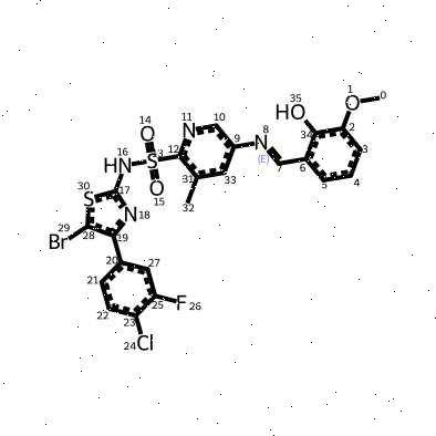 COc1cccc(/C=N/c2cnc(S(=O)(=O)Nc3nc(-c4ccc(Cl)c(F)c4)c(Br)s3)c(C)c2)c1O